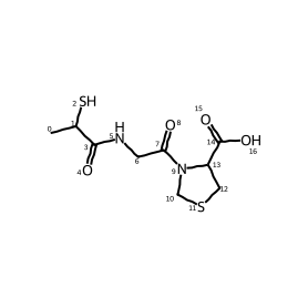 CC(S)C(=O)NCC(=O)N1CSCC1C(=O)O